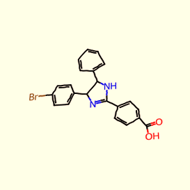 O=C(O)c1ccc(C2=NC(c3ccc(Br)cc3)C(c3ccccc3)N2)cc1